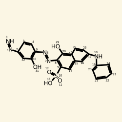 N=Nc1ccc(N=Nc2c(S(=O)(=O)O)cc3cc(Nc4ccccc4)ccc3c2O)c(O)c1